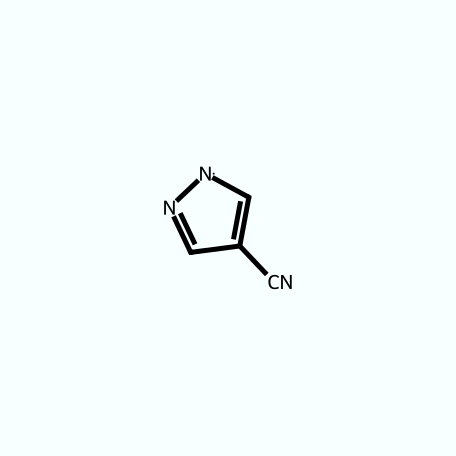 N#CC1=C[N]N=C1